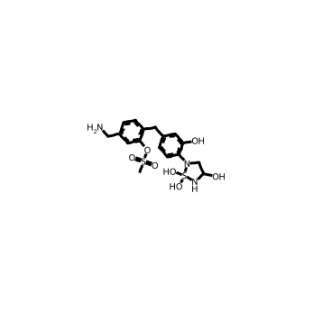 CS(=O)(=O)Oc1cc(CN)ccc1Cc1ccc(N2CC(O)NS2(O)O)c(O)c1